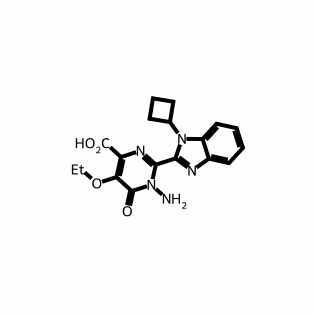 CCOc1c(C(=O)O)nc(-c2nc3ccccc3n2C2CCC2)n(N)c1=O